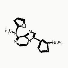 CC(=O)Nc1cccc(-c2cnc3c(N(C)c4ccco4)nccn23)c1